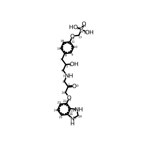 O=C(CNCC(O)Cc1ccc(OCP(=O)(O)O)cc1)COc1cccc2c1NCN2